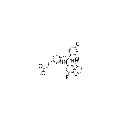 COC(=O)CCc1ccc(CC2(c3ccc(Cl)cc3OCC3CCCC3)Nc3cc(F)c(F)cc3N2)cc1